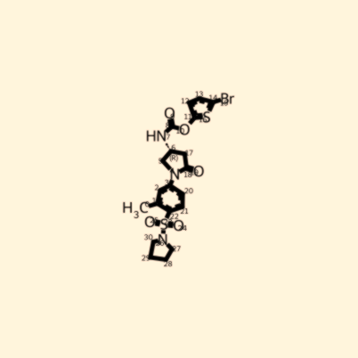 Cc1cc(N2C[C@H](NC(=O)Oc3ccc(Br)s3)CC2=O)ccc1S(=O)(=O)N1CCCC1